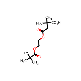 CCC(C)(C)C(=O)OCCOC(=O)CC(C)(C)C(=O)O